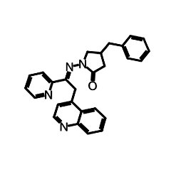 O=C1CC(Cc2ccccc2)CN1/N=C(\Cc1ccnc2ccccc12)c1ccccn1